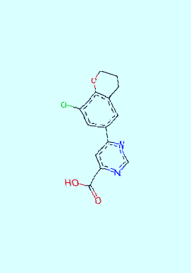 O=C(O)c1cc(-c2cc(Cl)c3c(c2)CCCO3)ncn1